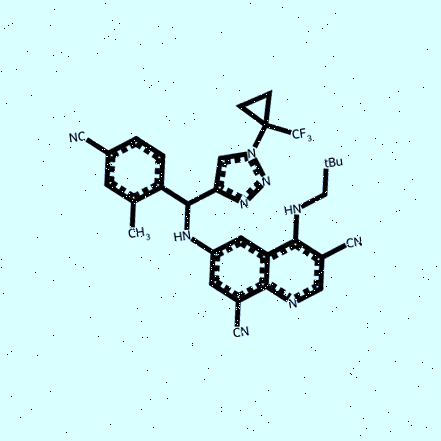 Cc1cc(C#N)ccc1C(Nc1cc(C#N)c2ncc(C#N)c(NCC(C)(C)C)c2c1)c1cn(C2(C(F)(F)F)CC2)nn1